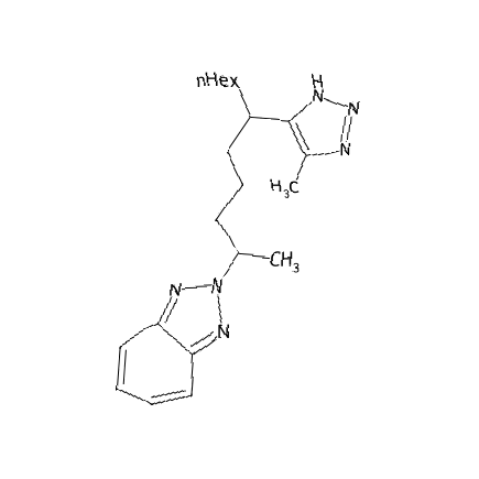 CCCCCCC(CCCC(C)n1nc2ccccc2n1)c1[nH]nnc1C